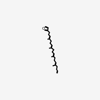 C=CCC/C(C)=C/CC/C(C)=C/CC/C(C)=C/CC/C(C)=C/CCc1ccoc1